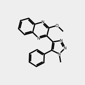 COc1nc2ccccc2nc1-c1nnn(C)c1-c1ccccc1